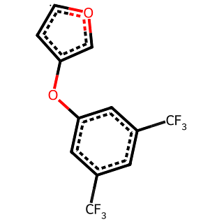 FC(F)(F)c1cc(Oc2c[c]oc2)cc(C(F)(F)F)c1